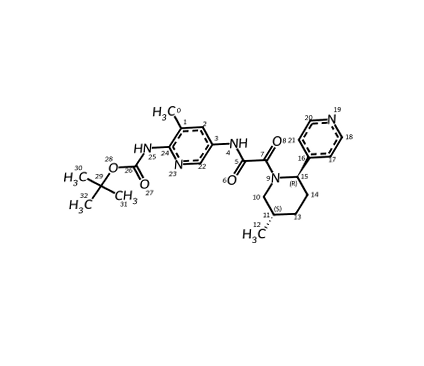 Cc1cc(NC(=O)C(=O)N2C[C@@H](C)CC[C@@H]2c2ccncc2)cnc1NC(=O)OC(C)(C)C